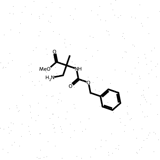 COC(=O)C(C)(CN)NC(=O)OCc1ccccc1